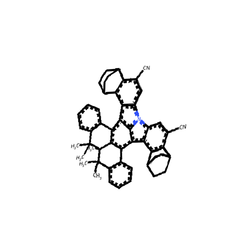 CC1(C)c2ccccc2-c2c3c(c4c5c6c(c(C#N)cc5n5c7cc(C#N)c8c(c7c2c45)C2CCC8CC2)C2CCC6CC2)-c2ccccc2C(C)(C)C31C